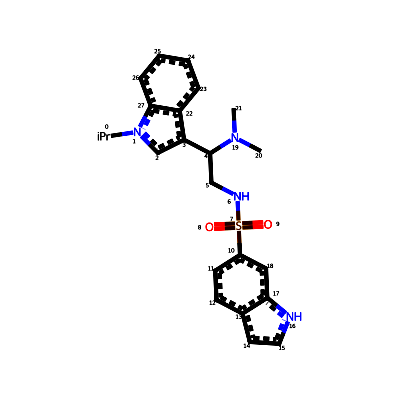 CC(C)n1cc(C(CNS(=O)(=O)c2ccc3cc[nH]c3c2)N(C)C)c2ccccc21